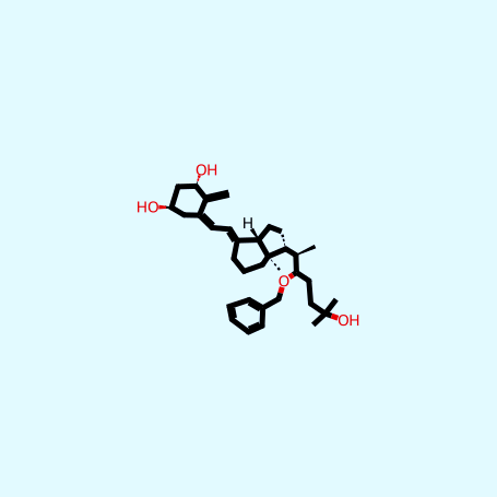 C=C1/C(=C\C=C2/CCC[C@]3(C)[C@@H]([C@@H](C)C(CCC(C)(C)O)OCc4ccccc4)CC[C@@H]23)C[C@@H](O)C[C@@H]1O